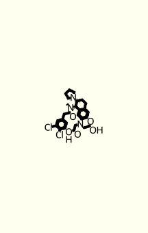 CN(C(=O)Cc1ccc(Cl)c(Cl)c1)[C@@H]1c2cc(N(CC(=O)O)CC(=O)O)ccc2CC[C@H]1N1CCCC1